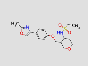 CCS(=O)(=O)NC1CCOCC1COc1ccc(-c2coc(C)n2)cc1